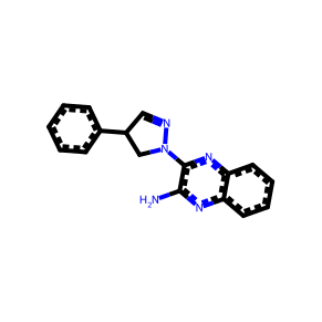 Nc1nc2ccccc2nc1N1CC(c2ccccc2)C=N1